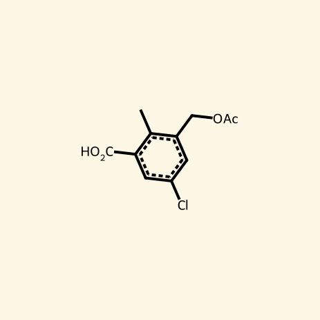 CC(=O)OCc1cc(Cl)cc(C(=O)O)c1C